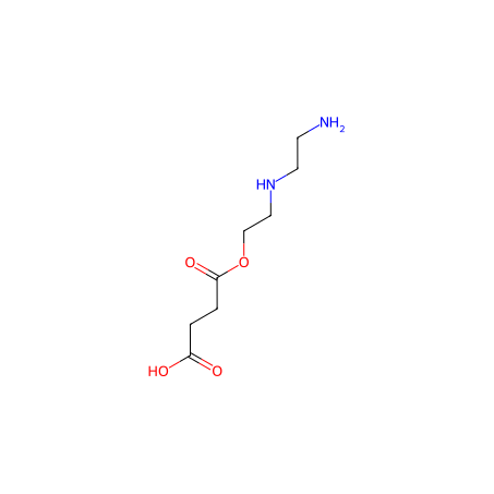 NCCNCCOC(=O)CCC(=O)O